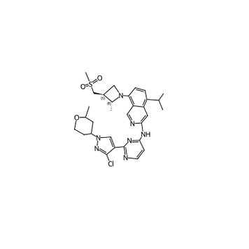 CC1CC(n2cc(-c3nccc(Nc4cc5c(C(C)C)ccc(N6C[C@H](CS(C)(=O)=O)[C@H]6C)c5cn4)n3)c(Cl)n2)CCO1